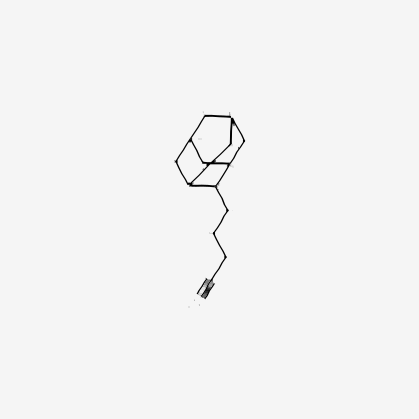 N#CCCCC1C2CC3CC(C2)CC1C3